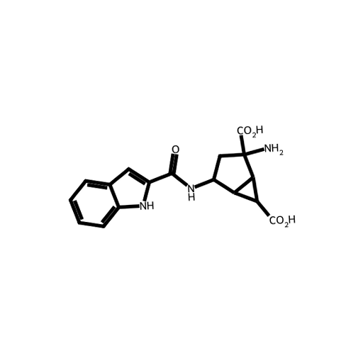 NC1(C(=O)O)CC(NC(=O)c2cc3ccccc3[nH]2)C2C(C(=O)O)C21